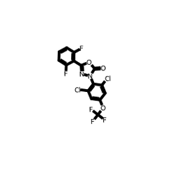 O=c1oc(-c2c(F)cccc2F)nn1-c1c(Cl)cc(OC(F)(F)F)cc1Cl